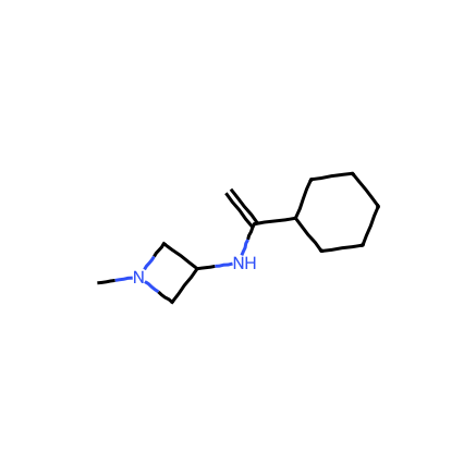 C=C(NC1CN(C)C1)C1CCCCC1